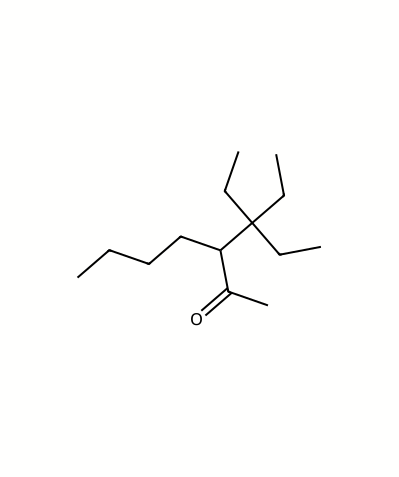 CCCCC(C(C)=O)C(CC)(CC)CC